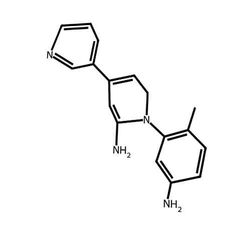 Cc1ccc(N)cc1N1CC=C(c2cccnc2)C=C1N